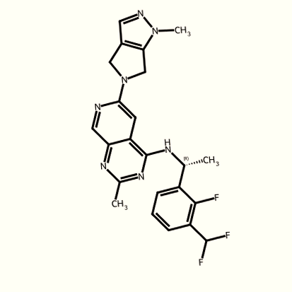 Cc1nc(N[C@H](C)c2cccc(C(F)F)c2F)c2cc(N3Cc4cnn(C)c4C3)ncc2n1